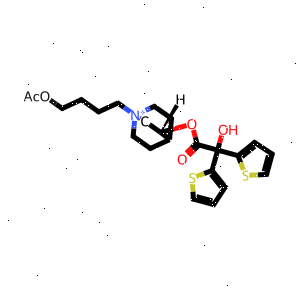 CC(=O)OCCCC[N+]12CCC(CC1)[C@@H](OC(=O)C(O)(c1cccs1)c1cccs1)C2